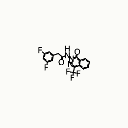 O=C(Cc1cc(F)cc(F)c1)Nn1nc(C(F)(F)F)c2ccccc2c1=O